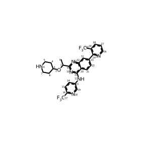 CC(OC1CCNCC1)c1nc(Nc2ccc(C(F)(F)F)nc2)c2ccc(-c3ncccc3C(F)(F)F)cc2n1